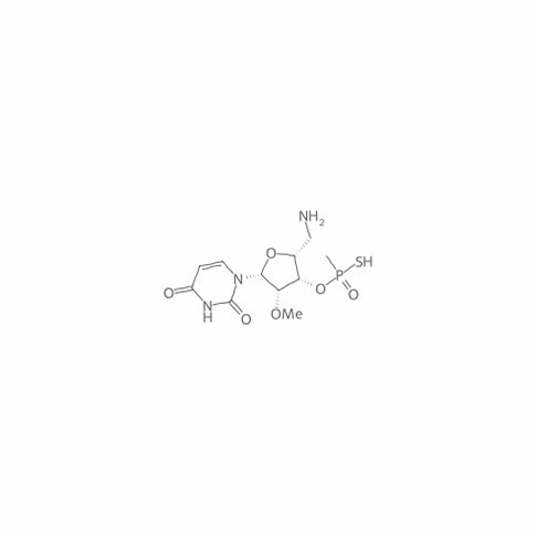 CO[C@H]1[C@@H](OP(C)(=O)S)[C@@H](CN)O[C@H]1n1ccc(=O)[nH]c1=O